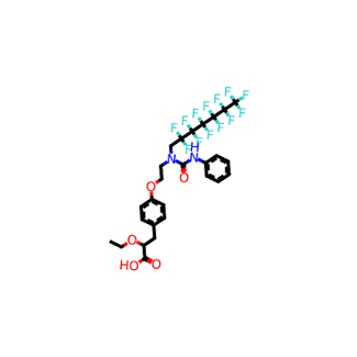 CCOC(Cc1ccc(OCCN(CC(F)(F)C(F)(F)C(F)(F)C(F)(F)C(F)(F)C(F)(F)F)C(=O)Nc2ccccc2)cc1)C(=O)O